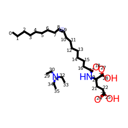 CCCCCCCC/C=C\CCCCCCCC(=O)NC(CCC(=O)O)C(=O)O.CCN(CC)CC